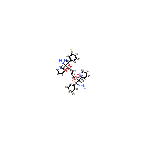 CC(C)(c1ccccn1)[C@](N)(OC(=O)/C=C/C(=O)O[C@](N)(c1cccc(F)c1)C(C)(C)c1ccccn1)c1cccc(F)c1